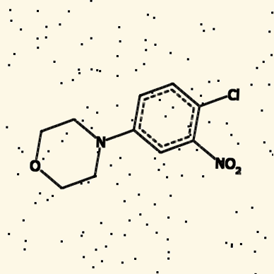 O=[N+]([O-])c1cc(N2CCOCC2)ccc1Cl